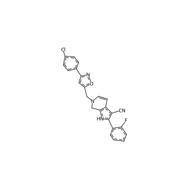 N#Cc1c(-c2ccccc2F)[nH]c2c1C=CN(Cc1cc(-c3ccc(Cl)cc3)no1)C2